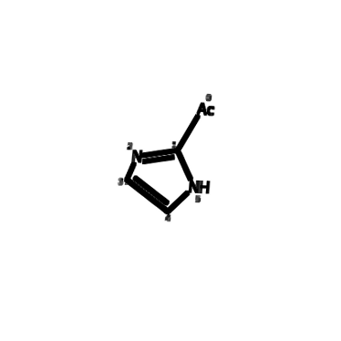 CC(=O)c1n[c]c[nH]1